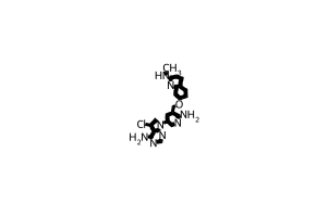 CNc1ccc2ccc(OCc3cc(-n4cc(Cl)c5c(N)ncnc54)cnc3N)cc2n1